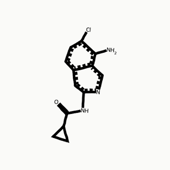 Nc1c(Cl)ccc2cc(NC(=O)C3CC3)ncc12